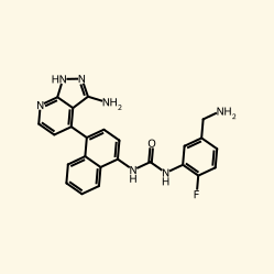 NCc1ccc(F)c(NC(=O)Nc2ccc(-c3ccnc4[nH]nc(N)c34)c3ccccc23)c1